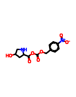 O=C(OCc1ccc([N+](=O)[O-])cc1)OC(=O)C1CC(O)CN1